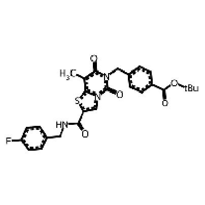 Cc1c(=O)n(Cc2ccc(C(=O)OC(C)(C)C)cc2)c(=O)n2cc(C(=O)NCc3ccc(F)cc3)sc12